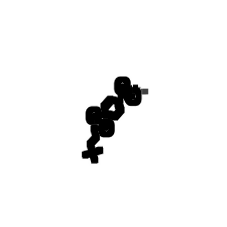 CC(C)(C)CCCS(=O)(=O)c1ccc([N+](=O)[O-])cc1